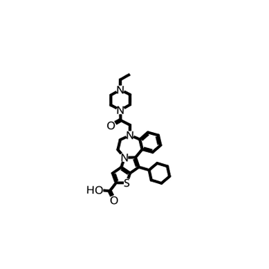 CCN1CCN(C(=O)CN2CCn3c(c(C4CCCCC4)c4sc(C(=O)O)cc43)-c3ccccc32)CC1